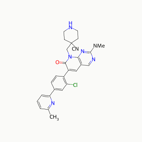 CNc1ncc2cc(-c3ccc(-c4cccc(C)n4)cc3Cl)c(=O)n(CC3(C#N)CCNCC3)c2n1